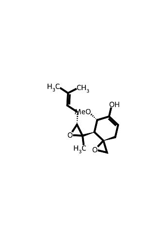 CO[C@@H]1C(O)=CC[C@]2(CO2)[C@H]1C1(C)O[C@@H]1CC=C(C)C